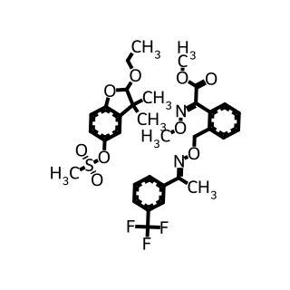 CCOC1Oc2ccc(OS(C)(=O)=O)cc2C1(C)C.CO/N=C(/C(=O)OC)c1ccccc1CO/N=C(\C)c1cccc(C(F)(F)F)c1